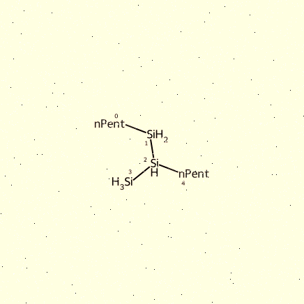 CCCCC[SiH2][SiH]([SiH3])CCCCC